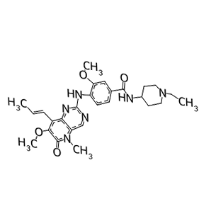 CC=Cc1c(OC)c(=O)n(C)c2cnc(Nc3ccc(C(=O)NC4CCN(CC)CC4)cc3OC)nc12